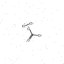 CCCl.O=C(Cl)Cl